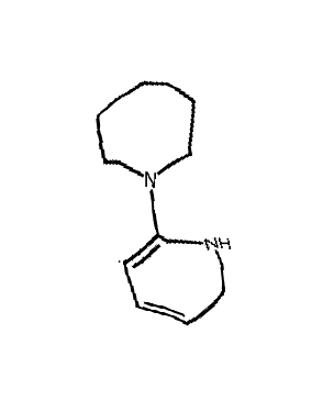 [C]1=C(N2CCCCC2)NCC=C1